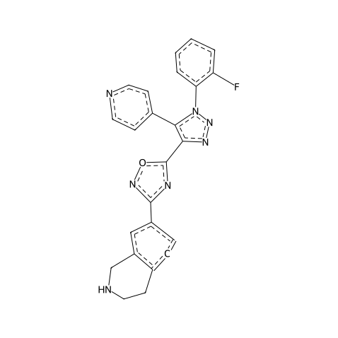 Fc1ccccc1-n1nnc(-c2nc(-c3ccc4c(c3)CNCC4)no2)c1-c1ccncc1